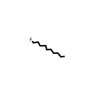 CCCCC[CH]CCCCF